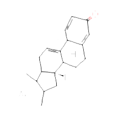 CC(=O)[C@@]1(C)C(C)C[C@H]2[C@@H]3CCC4=CC(=O)C=C[C@]4(C)C3=CC[C@@]21C